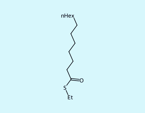 [CH2]CSC(=O)CCCCCCCCCCCC